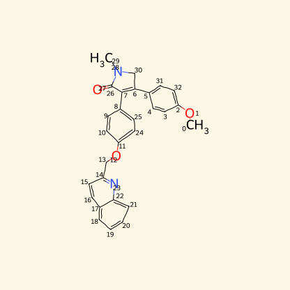 COc1ccc(C2=C(c3ccc(OCc4ccc5ccccc5n4)cc3)C(=O)N(C)C2)cc1